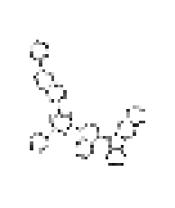 c1ccc(-c2ccc3cc(-c4nc(-c5ccccc5)nc(-c5ccc(-n6c7ccccc7c7cc8ccccc8cc76)c6ccccc56)n4)ccc3c2)cc1